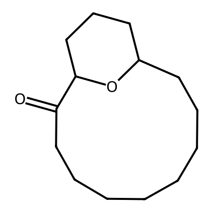 O=C1CCCCCCCCC2CCCC1O2